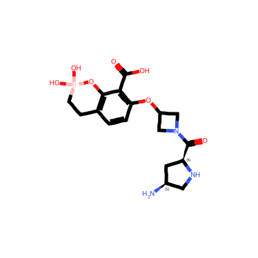 N[C@@H]1CN[C@H](C(=O)N2CC(Oc3ccc4c(c3C(=O)O)O[B-](O)(O)CC4)C2)C1